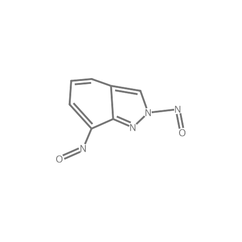 O=Nc1cccc2cn(N=O)nc12